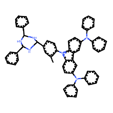 Cc1cc(C2NC(c3ccccc3)NC(c3ccccc3)N2)ccc1-n1c2ccc(N(c3ccccc3)c3ccccc3)cc2c2cc(N(c3ccccc3)c3ccccc3)ccc21